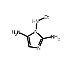 CCNn1c(N)cnc1N